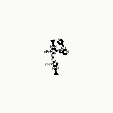 CCCn1c(SCSc2nc(NCc3ccncc3NCc3ccncc3)c3nc(C4CC4)nc-3n2CCC)ncc2nc(C3CC3)nc1-2